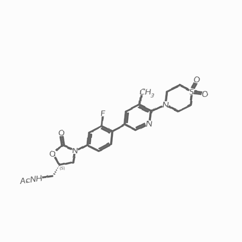 CC(=O)NC[C@H]1CN(c2ccc(-c3cnc(N4CCS(=O)(=O)CC4)c(C)c3)c(F)c2)C(=O)O1